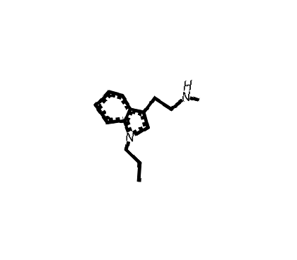 CCCn1cc(CCNC)c2ccccc21